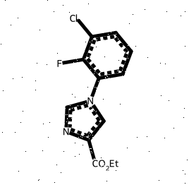 CCOC(=O)c1cn(-c2cccc(Cl)c2F)cn1